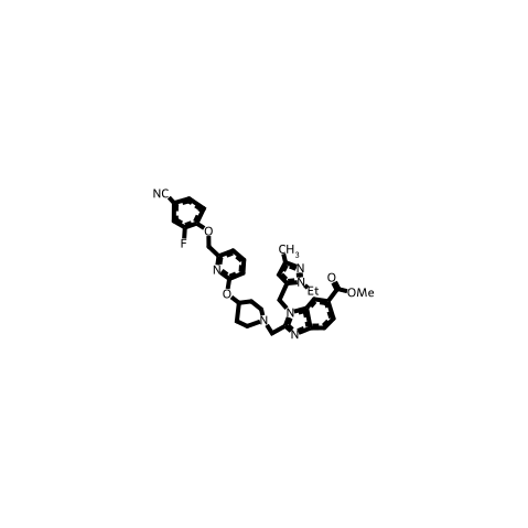 CCn1nc(C)cc1Cn1c(CN2CCC(Oc3cccc(COc4ccc(C#N)cc4F)n3)CC2)nc2ccc(C(=O)OC)cc21